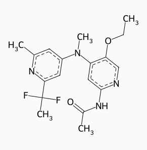 CCOc1cnc(NC(C)=O)cc1N(C)c1cc(C)nc(C(C)(F)F)c1